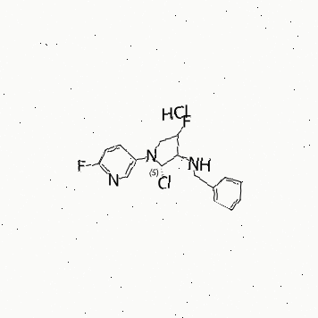 Cl.Fc1ccc(N2CC(F)C(NCc3ccccc3)[C@@H]2Cl)cn1